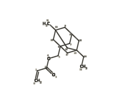 C=CC(=O)OCC12CC3CC(C)(CC(CC)(C3)C1)C2